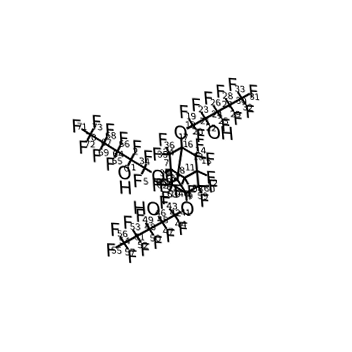 OC(F)(C(F)(F)OC12C(F)(F)C3(F)C(F)(F)C(OC(F)(F)C(O)(F)C(F)(F)C(F)(F)C(F)(F)F)(C1(F)F)C(F)(F)C(OC(F)(F)C(O)(F)C(F)(F)C(F)(F)C(F)(F)F)(C3(F)F)C2(F)F)C(F)(F)C(F)(F)C(F)(F)F